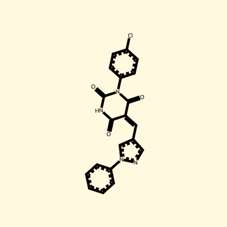 O=C1NC(=O)N(c2ccc(Cl)cc2)C(=O)/C1=C/c1cnn(-c2ccccc2)c1